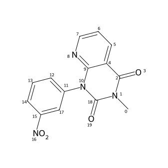 Cn1c(=O)c2cccnc2n(-c2cccc([N+](=O)[O-])c2)c1=O